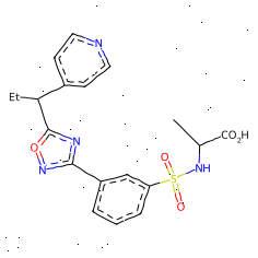 CCC(c1ccncc1)c1nc(-c2cccc(S(=O)(=O)NC(C)C(=O)O)c2)no1